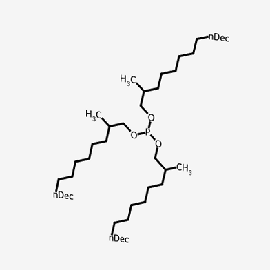 CCCCCCCCCCCCCCCCC(C)COP(OCC(C)CCCCCCCCCCCCCCCC)OCC(C)CCCCCCCCCCCCCCCC